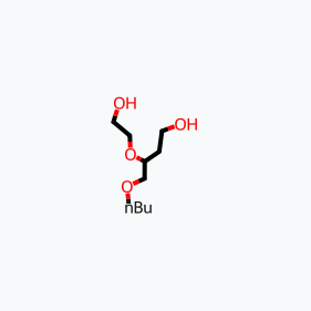 CCCCOCC(CCO)OCCO